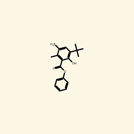 Bc1cc(C(C)(C)C)c(O)c(C(=O)Oc2ccccc2)c1C